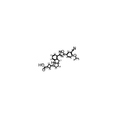 CC(C)Oc1ccc(-c2nc(-c3cccc4c3CC3CCN(C5CC(C(=O)O)C5)[C@H]43)no2)cc1C#N